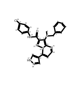 CN(Cc1ccccc1)c1c(C(=O)Nc2ccc(Cl)cc2)nn2c(-c3cn[nH]c3)ccnc12